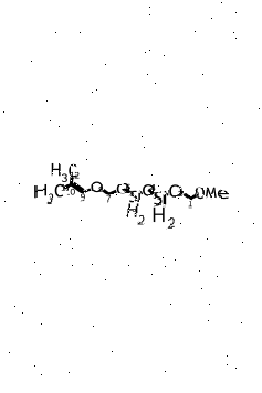 COCO[SiH2]O[SiH2]OCOC=C(C)C